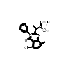 Cc1ccc(Cl)c2c(=O)n(-c3ccccc3)c(C(C)N(C(=O)O)C(C)(C)C)nc12